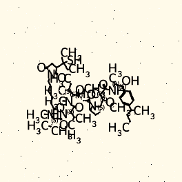 CCCC(C)c1ccc([C@H](O)[C@@H](C)NC(=O)[C@H](C)[C@@H](OC)[C@@H]2CCCN2C(=O)C[C@@H](OC)[C@H]([C@@H](C)CC)N(C)C(=O)[C@@H](NC(=O)[C@H](C(C)C)N(C)C(=O)CCCCCN2C(=O)CC(C(S)(CC)CC)C2=O)C(C)C)cc1